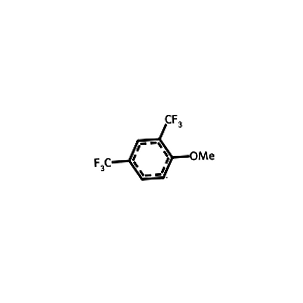 COc1[c]cc(C(F)(F)F)cc1C(F)(F)F